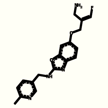 Cc1ccc(CNc2nc3ccc(OC/C(=C/F)CN)cc3o2)cn1